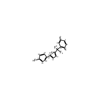 Cc1ccc(C)c(C(F)(F)c2ccc(-c3ccc(F)cc3)s2)c1